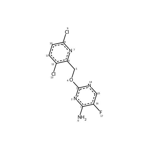 Nc1nc(OCc2nc(Cl)ccc2Cl)ncc1F